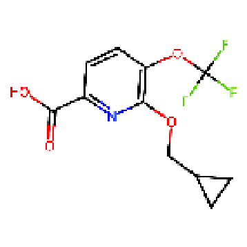 O=C(O)c1ccc(OC(F)(F)F)c(OCC2CC2)n1